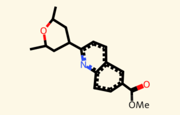 COC(=O)c1ccc2nc(C3CC(C)OC(C)C3)ccc2c1